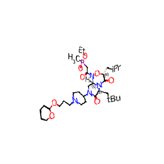 CCOP(C)(=O)CC(=O)N1O[C@H](CC(C)C)C(=O)N2[C@@H]1CN(C1CCN(CCCOC3CCCCO3)CC1)C(=O)[C@@H]2CC(C)(C)C